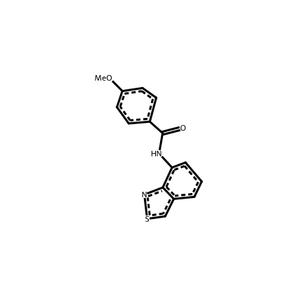 COc1ccc(C(=O)Nc2cccc3csnc23)cc1